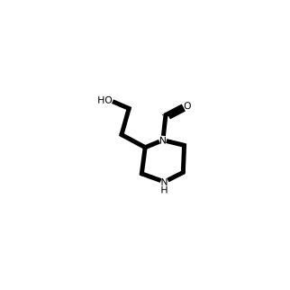 O=[C]N1CCNCC1CCO